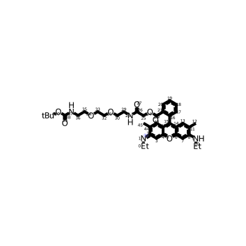 CC/N=c1\cc2oc3cc(NCC)c(C)cc3c(-c3ccccc3C(=O)OCC(=O)NCCOCCOCCNC(=O)OC(C)(C)C)c-2cc1C